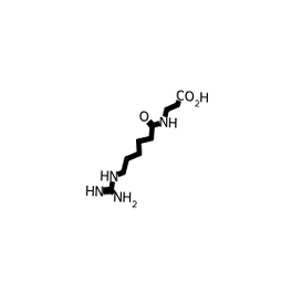 N=C(N)NCCCCCC(=O)NCCC(=O)O